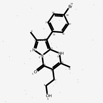 Cc1nn2c(=O)c(CCO)c(C)[nH]c2c1-c1ccc(Br)cc1